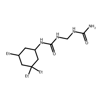 CCC1CC(NC(=O)NCNC(N)=O)CC(CC)(CC)C1